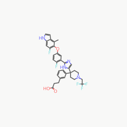 Cc1c(Oc2ccc(F)c(-c3ncc(C4(c5cccc(CCC(=O)O)c5)CCN(CC(F)(F)F)CC4)[nH]3)c2)c(F)cc2[nH]ccc12